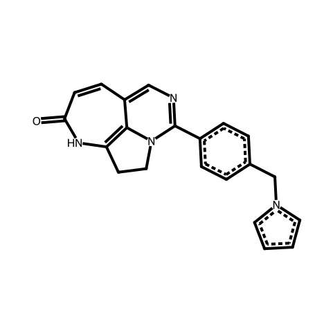 O=C1C=CC2=CN=C(c3ccc(Cn4cccc4)cc3)N3CCC(=C23)N1